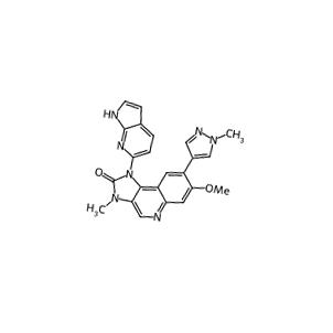 COc1cc2ncc3c(c2cc1-c1cnn(C)c1)n(-c1ccc2cc[nH]c2n1)c(=O)n3C